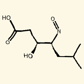 CC(C)C[C@H](N=O)[C@@H](O)CC(=O)O